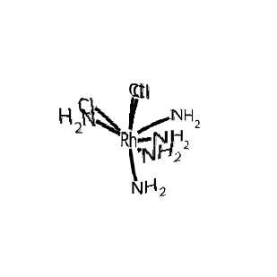 [NH2][Rh]([NH2])([NH2])([NH2])([NH2])([Cl])([Cl])[Cl]